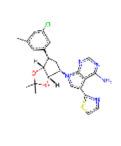 Cc1cc(Cl)cc([C@H]2C[C@@H](n3cc(-c4nccs4)c4c(N)ncnc43)[C@@H]3OC(C)(C)O[C@@H]32)c1